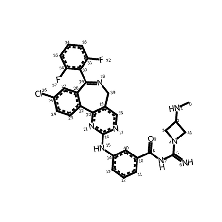 CNC1CN(C(=N)NC(=O)c2cccc(Nc3ncc4c(n3)-c3ccc(Cl)cc3C(c3c(F)cccc3F)=NC4)c2)C1